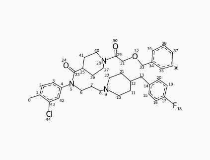 Cc1ccc(N(CCCN2CCC(Cc3ccc(F)cc3)CC2)C(=O)C2CCN(C(=O)COCc3ccccc3)CC2)cc1Cl